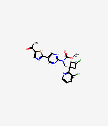 COC(=O)c1cnc(-c2cnc(N(C[C@]3(c4ncccc4F)C[C@@H](F)C3)C(=O)OC(C)(C)C)nc2)s1